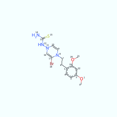 COc1ccc(CCN2C=CN(NC(N)=S)C=C2Br)c(OC)c1